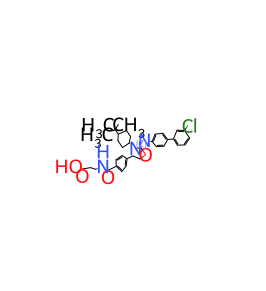 CC(C)(C)C1CCC(N2/C(=N/c3ccc(-c4cccc(Cl)c4)cc3)OCC2c2ccc(C(=O)NCCC(=O)O)cc2)CC1